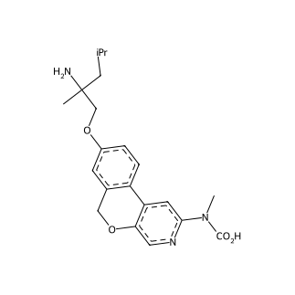 CC(C)CC(C)(N)COc1ccc2c(c1)COc1cnc(N(C)C(=O)O)cc1-2